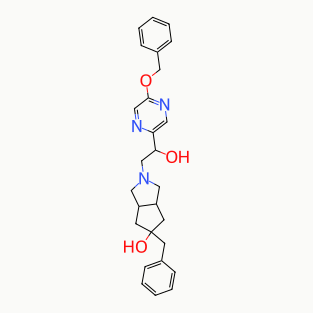 OC(CN1CC2CC(O)(Cc3ccccc3)CC2C1)c1cnc(OCc2ccccc2)cn1